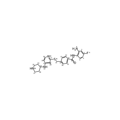 Nc1cc(F)ccc1NC(=O)c1ccc(CSc2nccc(NC3CCNCC3)n2)cc1